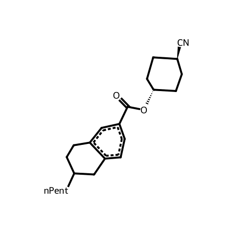 CCCCCC1CCc2cc(C(=O)O[C@H]3CC[C@H](C#N)CC3)ccc2C1